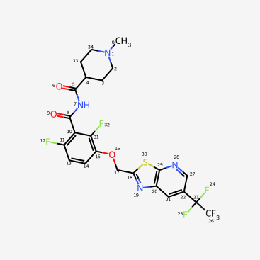 CN1CCC(C(=O)NC(=O)c2c(F)ccc(OCc3nc4cc(C(F)(F)C(F)(F)F)cnc4s3)c2F)CC1